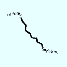 CCCCCCSCCCCCCCCSCCCCCC